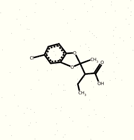 CCC(C(=O)O)C1(C)Oc2ccc(Cl)cc2O1